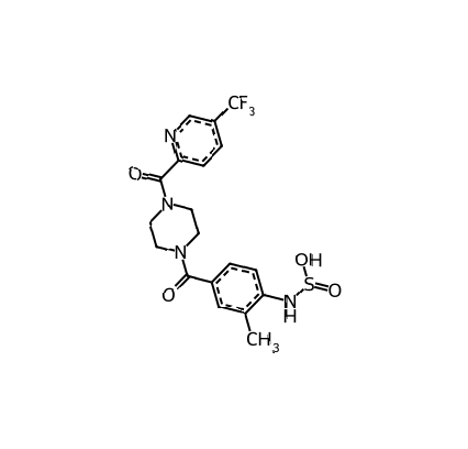 Cc1cc(C(=O)N2CCN(C(=O)c3ccc(C(F)(F)F)cn3)CC2)ccc1NS(=O)O